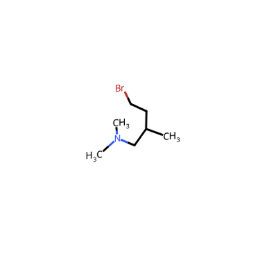 CC(CCBr)CN(C)C